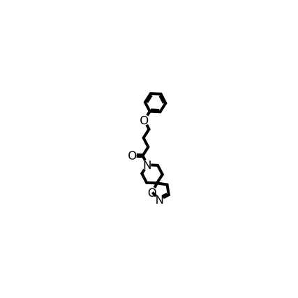 O=C(CCCOc1ccccc1)N1CCC2(CC=NO2)CC1